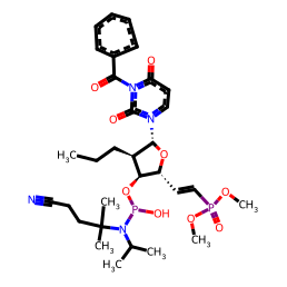 CCC[C@@H]1[C@H](OP(O)N(C(C)C)C(C)(C)CCC#N)[C@@H](/C=C/P(=O)(OC)OC)O[C@H]1n1ccc(=O)n(C(=O)c2ccccc2)c1=O